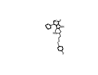 Fc1ccc(SCCCC2Cc3[nH]c4c(F)ccc(-c5ccccc5)c4c3CN2)cc1